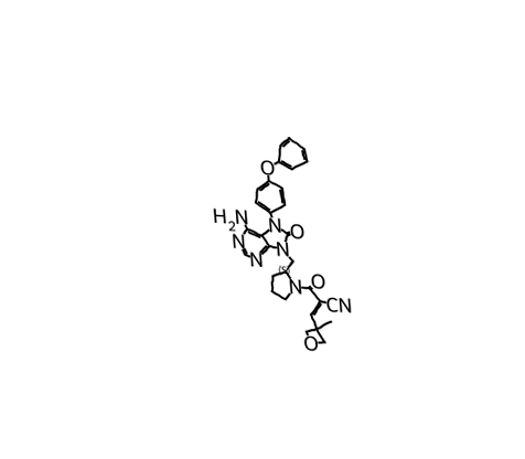 CC1(C=C(C#N)C(=O)N2CCC[C@H]2Cn2c(=O)n(-c3ccc(Oc4ccccc4)cc3)c3c(N)ncnc32)COC1